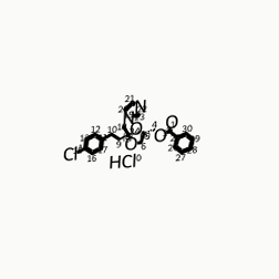 Cl.O=C(OC[C@@H]1CO[C@](CCc2ccc(Cl)cc2)(Cn2ccnc2)O1)c1ccccc1